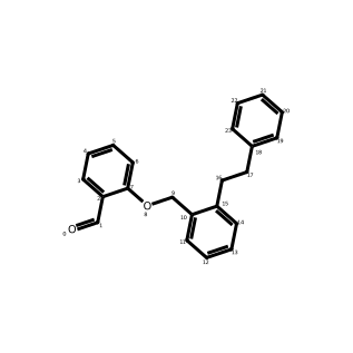 O=Cc1ccccc1OCc1ccccc1CCc1ccccc1